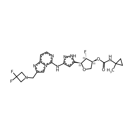 CC1(NC(=O)O[C@H]2CO[C@@H](c3cc(Nc4nccc5nc(CN6CC(F)(F)C6)cn45)n[nH]3)[C@@H]2F)CC1